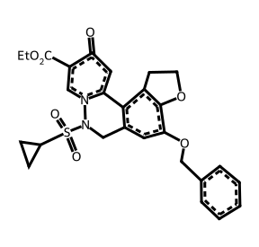 CCOC(=O)c1cn2c(cc1=O)-c1c(cc(OCc3ccccc3)c3c1CCO3)CN2S(=O)(=O)C1CC1